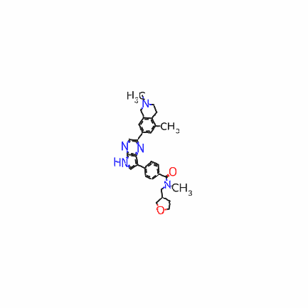 Cc1cc(-c2cnc3[nH]cc(-c4ccc(C(=O)N(C)CC5CCOC5)cc4)c3n2)cc2c1CCN(C)C2